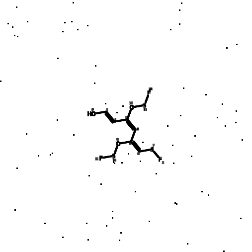 O/C=C/C(=C\C(=C/SF)OSF)OSF